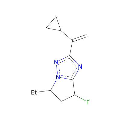 C=C(c1nc2n(n1)C(CC)CC2F)C1CC1